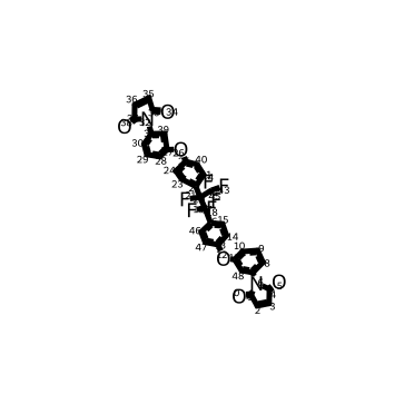 O=C1C=CC(=O)N1c1cccc(Oc2ccc(C(F)(F)C(F)(c3ccc(Oc4cccc(N5C(=O)C=CC5=O)c4)cc3)C(F)(F)F)cc2)c1